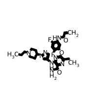 C=CC(=O)Nc1cc(Oc2nc(Nc3cnn(C4CCN(CCC)CC4)c3)c(C(N)=O)nc2CC)c(F)cc1F